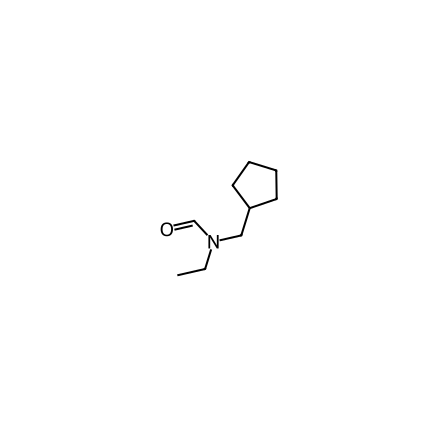 CCN(C=O)CC1CCCC1